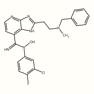 CN(CCc1nc2nccc(C(=N)N(O)c3ccc(F)c(Cl)c3)c2[nH]1)Cc1ccccc1